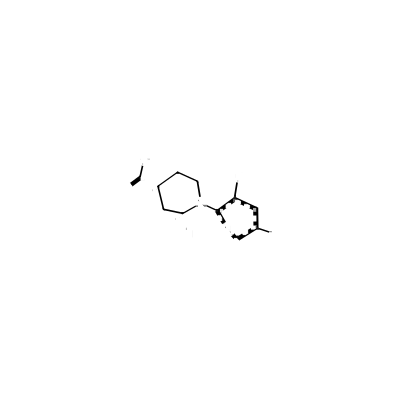 C[C@@H]1C[C@H](C(=O)O)CCN1c1ncc(F)cc1Cl